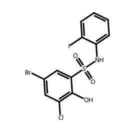 O=S(=O)(Nc1ccccc1I)c1cc(Br)cc(Cl)c1O